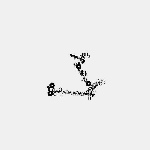 C=C1Cc2ccccc2N(C(=O)CCC(=O)NCCOCCOCCOCCOCCC(=O)N[C@H](C(=O)N[C@@H](CCCNC(N)=O)C(=O)Nc2ccc(COC(=O)N3CCOC4(CN(Cc5ccc(Cn6ccc7nc(N)nc(NCCCCC)c76)c(OC)c5)C4)C3)cc2)C(C)C)Cc2ccccc21